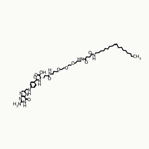 CCCCCCCC/C=C\CCCCCCCCNC(=O)CCC(=O)NCCCOCCOCCOCCCNC(=O)CC[C@H](NC(=O)c1ccc(NCc2cnc3nc(N)[nH]c(=O)c3n2)cc1)C(=O)O